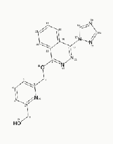 OCc1cccc(COc2nnc(-n3cncn3)c3ccccc23)n1